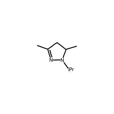 CC1=NN(C(C)C)C(C)C1